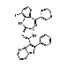 O=C(N[C@H]1N=C(c2ccccc2)c2cccc(F)c2NC1=O)c1c(-c2ccccc2)nc2cccnn12